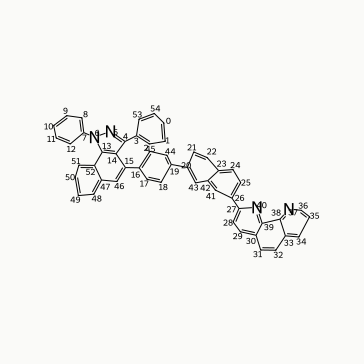 c1ccc(-c2nn(-c3ccccc3)c3c2c(-c2ccc(-c4ccc5ccc(-c6ccc7ccc8cccnc8c7n6)cc5c4)cc2)cc2ccccc23)cc1